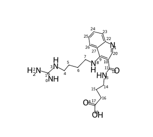 N=C(N)NCCCCNc1c(C(=O)NCCCC(=O)O)cnc2ccccc12